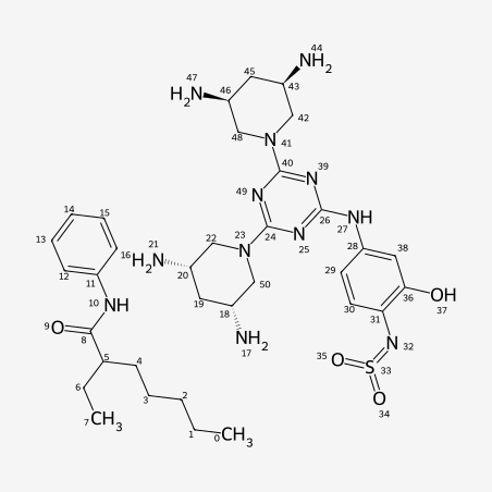 CCCCCC(CC)C(=O)Nc1ccccc1.N[C@@H]1C[C@H](N)CN(c2nc(Nc3ccc(N=S(=O)=O)c(O)c3)nc(N3C[C@H](N)C[C@H](N)C3)n2)C1